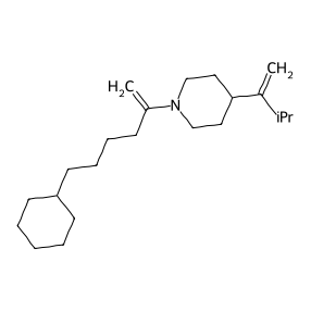 C=C(C(C)C)C1CCN(C(=C)CCCCC2CCCCC2)CC1